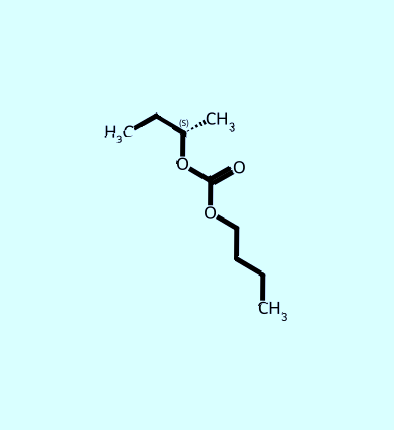 C[CH][C@H](C)OC(=O)OCCCC